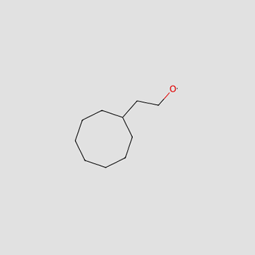 [O]CCC1CCCCCCC1